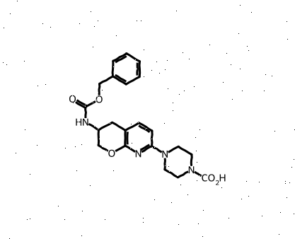 O=C(NC1COc2nc(N3CCN(C(=O)O)CC3)ccc2C1)OCc1ccccc1